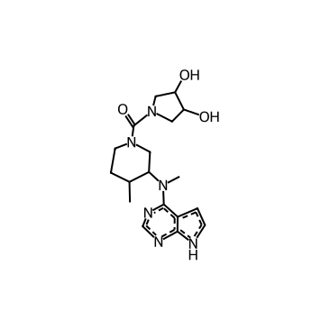 CC1CCN(C(=O)N2CC(O)C(O)C2)CC1N(C)c1ncnc2[nH]ccc12